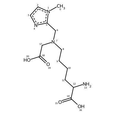 Cn1ccnc1CN(CCCCC(N)C(=O)O)CC(=O)O